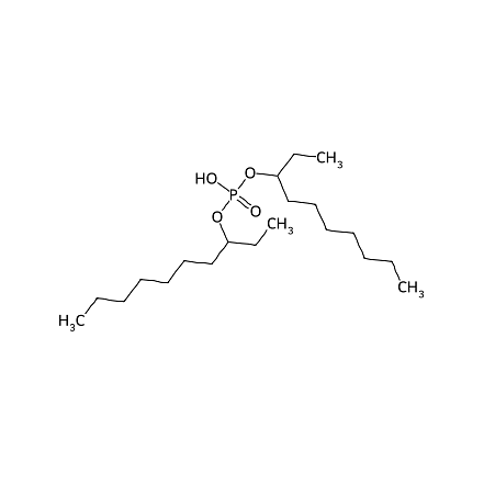 CCCCCCCC(CC)OP(=O)(O)OC(CC)CCCCCCC